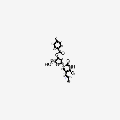 Cc1ccc(C(=O)O[C@H]2C[C@H](n3cc(/C=C/Br)c(=O)[nH]c3=O)O[C@@H]2CO)cc1